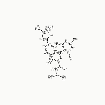 CC(C)C(NC(=O)c1cn(-c2c(F)cc(F)cc2F)c2nc(N3C[C@@H](O)[C@H](O)C3)ccc2c1=O)C(C)C